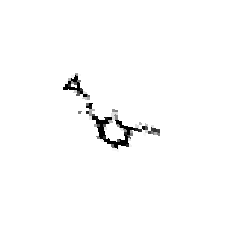 COc1cccc(NSC2CC2)n1